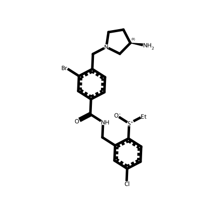 CC[S+]([O-])c1ccc(Cl)cc1CNC(=O)c1ccc(CN2CC[C@@H](N)C2)c(Br)c1